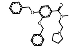 CN(CCN1CCCC1)C(=O)c1ccc(OCc2ccccc2)c(OCc2ccccc2)c1